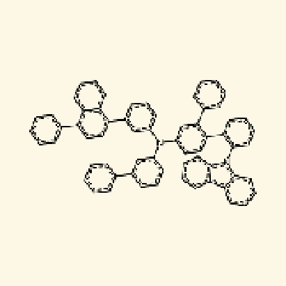 c1ccc(-c2cccc(N(c3cccc(-c4ccc(-c5ccccc5)c5ccccc45)c3)c3ccc(-c4ccccc4-n4c5ccccc5c5ccccc54)c(-c4ccccc4)c3)c2)cc1